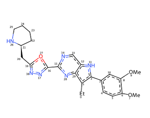 CCc1c(-c2ccc(OC)c(OC)c2)[nH]c2cnc(-c3nnc(C[C@@H]4CCCCN4)o3)nc12